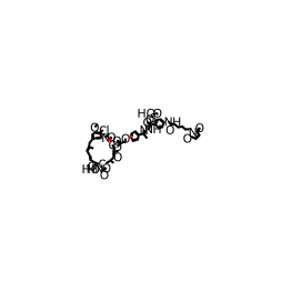 COc1cc2cc(c1Cl)N(C)C(=O)C[C@H](OC(=O)COc1ccc(/C(C)=N/NC(=O)c3ccc(NC(=O)CCCCCN4C(=O)C=CC4=O)cc3S(=O)(=O)O)cc1)C1(C)OC1C(C)C1C[C@@](O)(NC(=O)O1)[C@H](OC)/C=C/C=C(\C)C2